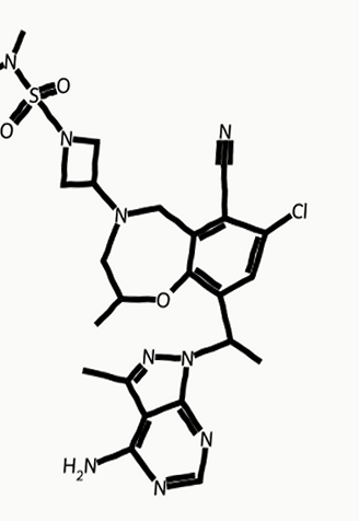 Cc1nn(C(C)c2cc(Cl)c(C#N)c3c2OC(C)CN(C2CN(S(=O)(=O)N(C)C)C2)C3)c2ncnc(N)c12